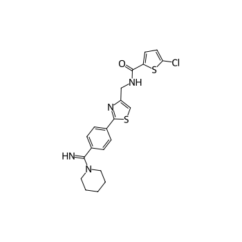 N=C(c1ccc(-c2nc(CNC(=O)c3ccc(Cl)s3)cs2)cc1)N1CCCCC1